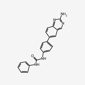 Nc1ncc2cc(-c3ccc(NC(=O)Nc4ccccc4)cc3)ccc2n1